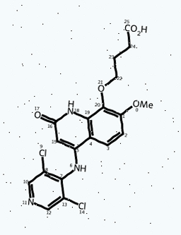 COc1ccc2c(Nc3c(Cl)cncc3Cl)cc(=O)[nH]c2c1OCCCC(=O)O